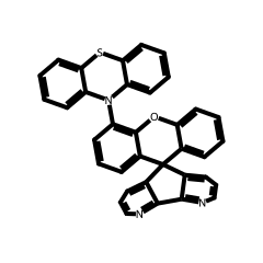 c1ccc2c(c1)Oc1c(N3c4ccccc4Sc4ccccc43)cccc1C21c2cccnc2-c2ncccc21